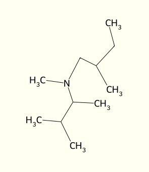 CCC(C)CN(C)C(C)C(C)C